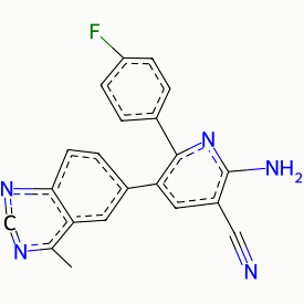 Cc1ncnc2ccc(-c3cc(C#N)c(N)nc3-c3ccc(F)cc3)cc12